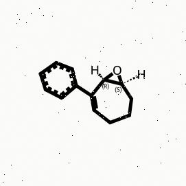 C1=C(c2ccccc2)[C@H]2O[C@H]2CCC1